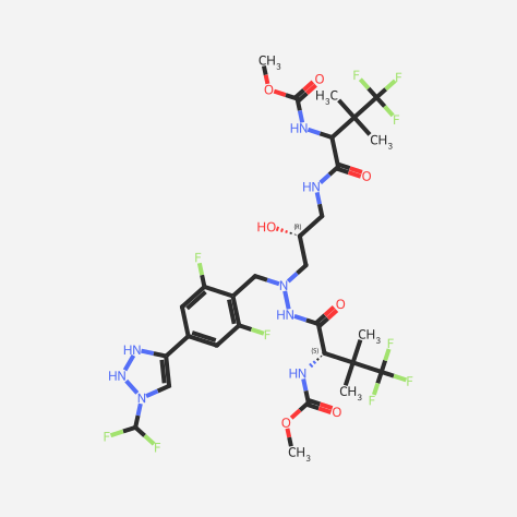 COC(=O)NC(C(=O)NC[C@@H](O)CN(Cc1c(F)cc(C2=CN(C(F)F)NN2)cc1F)NC(=O)[C@@H](NC(=O)OC)C(C)(C)C(F)(F)F)C(C)(C)C(F)(F)F